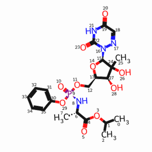 CC(C)OC(=O)[C@H](C)N[P@](=O)(OC[C@H]1O[C@@H](n2ncc(=O)[nH]c2=O)C(C)(O)[C@H]1O)Oc1ccccc1